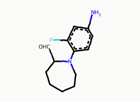 Nc1ccc(N2CCCCCC2C=O)c(F)c1